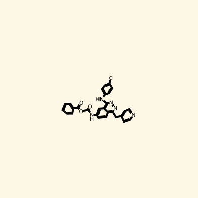 O=C(Nc1ccc2c(Cc3ccncc3)nnc(Nc3ccc(Cl)cc3)c2c1)OC(=O)c1ccccc1